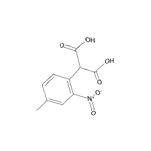 Cc1ccc(C(C(=O)O)C(=O)O)c([N+](=O)[O-])c1